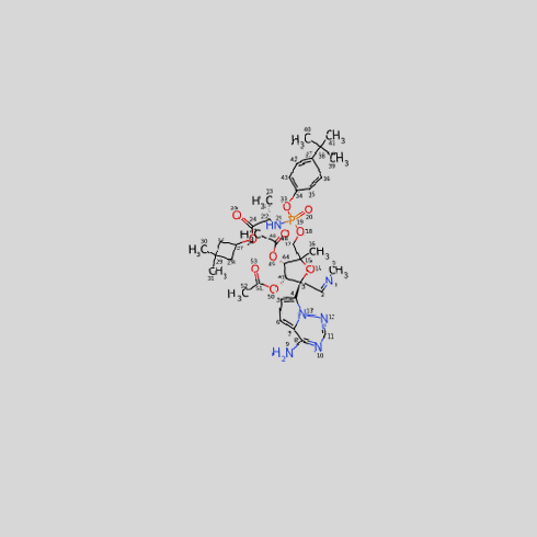 C/N=C\[C@@]1(c2ccc3c(N)ncnn23)OC(C)(COP(=O)(N[C@@H](C)C(=O)OC2CC(C)(C)C2)Oc2ccc(C(C)(C)C)cc2)[C@@H](OC(C)=O)[C@H]1OC(C)=O